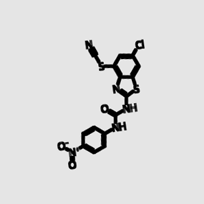 N#CSc1cc(Cl)cc2sc(NC(=O)Nc3ccc([N+](=O)[O-])cc3)nc12